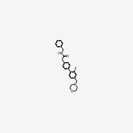 O=C(Cc1ccc(-c2ccc(CN3CCOCC3)cc2F)cc1)NCc1ccccc1